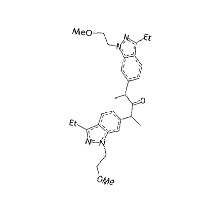 CCc1nn(CCOC)c2cc(C(C)C(=O)C(C)c3ccc4c(CC)nn(CCOC)c4c3)ccc12